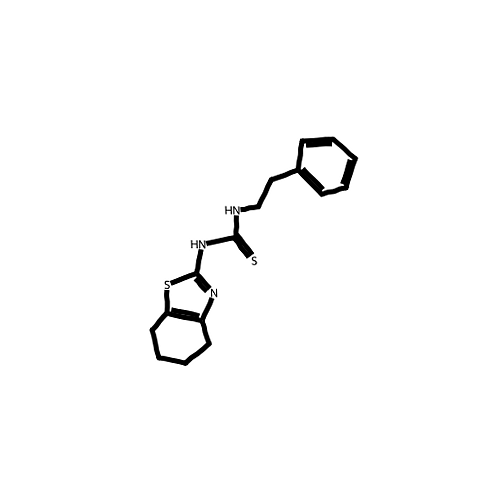 S=C(NCCc1ccccc1)Nc1nc2c(s1)CCCC2